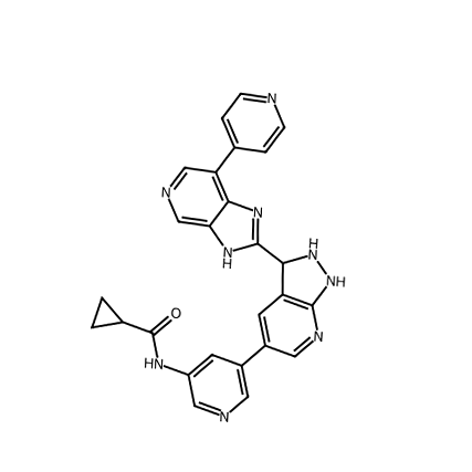 O=C(Nc1cncc(-c2cnc3c(c2)C(c2nc4c(-c5ccncc5)cncc4[nH]2)NN3)c1)C1CC1